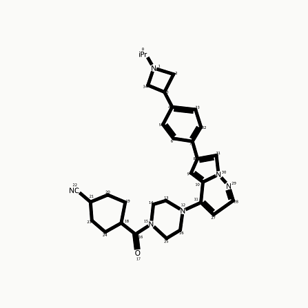 CC(C)N1CC(c2ccc(-c3cc4c(N5CCN(C(=O)C6CCC(C#N)CC6)CC5)ccnn4c3)cc2)C1